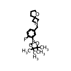 CC1(C)OB(c2cc(CN3CC4(CCCO4)C3)ccc2F)OC1(C)C